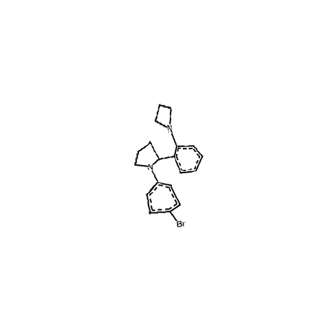 Brc1ccc(N2CCCC2c2ccccc2N2CCC2)cc1